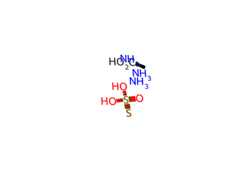 CC(=O)O.N.N.N.O=S(O)(O)=S